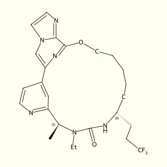 CCN1C(=O)N[C@@H](CCC(F)(F)F)CCCCCOc2nc(cn3ccnc23)-c2ccnc(c2)[C@@H]1C